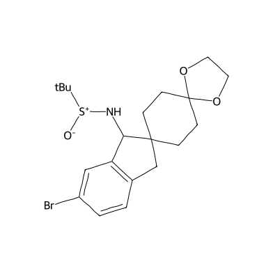 CC(C)(C)[S+]([O-])NC1c2cc(Br)ccc2CC12CCC1(CC2)OCCO1